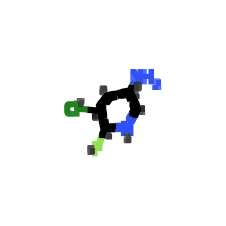 Nc1cnc(F)c(Cl)c1